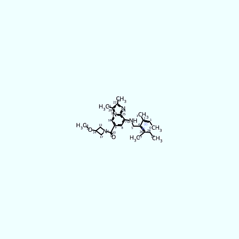 C/C=C(C)\C(CNc1cc(C(=O)N2CC(OC)C2)cn2c(C)c(C)nc12)=C(\C)CC